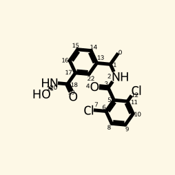 CC(NC(=O)c1c(Cl)cccc1Cl)c1cccc(C(=O)NO)c1